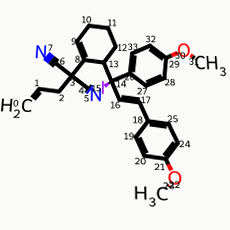 C=CCC(C#N)(C#N)C1=CCCCC1[C@@](I)(/C=C/c1ccc(OC)cc1)c1ccc(OC)cc1